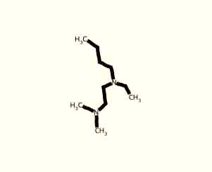 CCCCN(CC)CCN(C)C